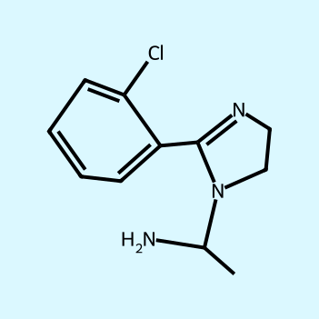 CC(N)N1CCN=C1c1ccccc1Cl